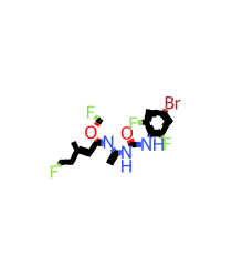 C=C(/N=C(\C=C(/C)CCF)OCF)NC(=O)Nc1c(F)cc(Br)cc1F